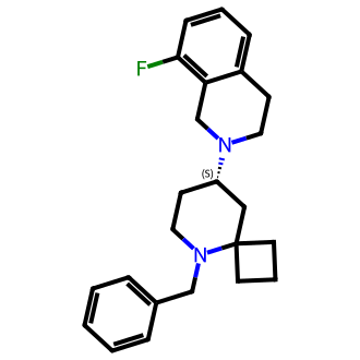 Fc1cccc2c1CN([C@H]1CCN(Cc3ccccc3)C3(CCC3)C1)CC2